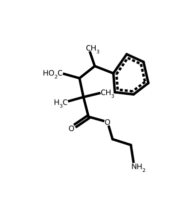 CC(c1ccccc1)C(C(=O)O)C(C)(C)C(=O)OCCN